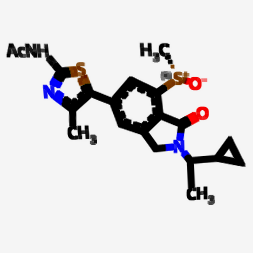 CC(=O)Nc1nc(C)c(-c2cc3c(c([S@+](C)[O-])c2)C(=O)N(C(C)C2CC2)C3)s1